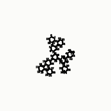 c1ccc(-c2ccc(-c3cc(-c4ccc(-c5ccccc5)c(-c5ccccc5)c4)cc(-c4nc(-c5ccncc5)nc(-c5ccncc5)n4)c3)cc2-c2ccccc2)cc1